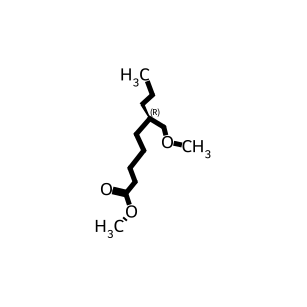 CCC[C@H](CCCCC(=O)OC)COC